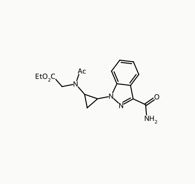 CCOC(=O)CN(C(C)=O)C1CC1n1nc(C(N)=O)c2ccccc21